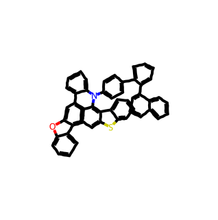 c1ccc(-c2cccc3ccccc23)c(-c2ccc(N(c3ccccc3-c3ccc4c(c3)oc3ccccc34)c3cccc4sc5ccccc5c34)cc2)c1